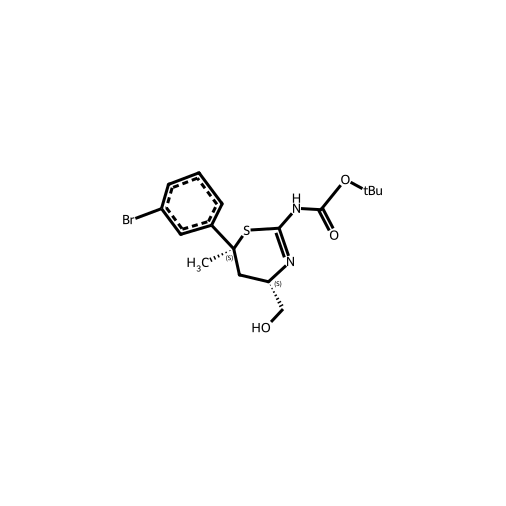 CC(C)(C)OC(=O)NC1=N[C@H](CO)C[C@@](C)(c2cccc(Br)c2)S1